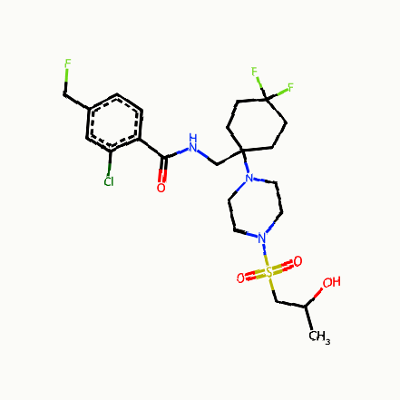 CC(O)CS(=O)(=O)N1CCN(C2(CNC(=O)c3ccc(CF)cc3Cl)CCC(F)(F)CC2)CC1